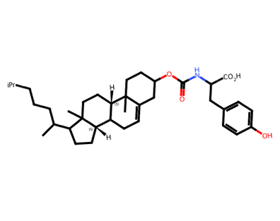 CC(C)CCCC(C)C1CC[C@H]2C3CC=C4CC(OC(=O)NC(Cc5ccc(O)cc5)C(=O)O)CCC4(C)[C@H]3CCC12C